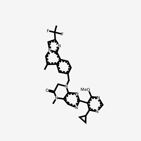 COc1ncnc(C2CC2)c1-c1ncc2c(n1)N(Cc1ccc3c(c1)c(C)cn1cc(C(C)(F)F)nc31)CC(=O)N2C